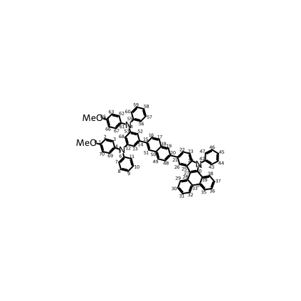 COc1ccc(N(c2ccccc2)c2cc(-c3ccc4cc(-c5ccc6c(c5)c5c7ccccc7c7ccccc7c5n6-c5ccccc5)ccc4c3)cc(N(c3ccccc3)c3ccc(OC)cc3)c2)cc1